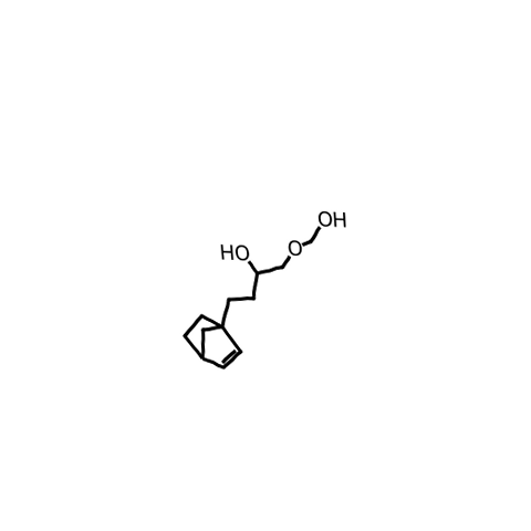 OCOCC(O)CCC12C=CC(CC1)C2